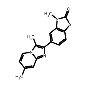 Cc1ccn2c(C)c(-c3ccc4sc(=O)n(C)c4c3)nc2c1